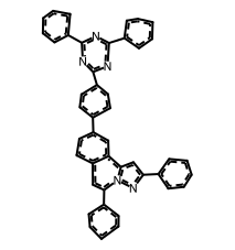 c1ccc(-c2cc3c4cc(-c5ccc(-c6nc(-c7ccccc7)nc(-c7ccccc7)n6)cc5)ccc4cc(-c4ccccc4)n3n2)cc1